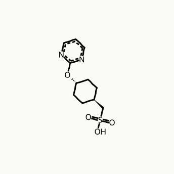 O=S(=O)(O)C[C@H]1CC[C@H](Oc2ncccn2)CC1